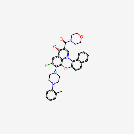 Cc1ccccc1N1CCN(c2c(F)cc3c(=O)c(C(=O)N4CCOCC4)cn4c3c2Oc2ccc3ccccc3c2-4)CC1